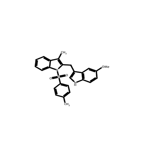 COc1ccc2[nH]cc(Cc3c(C)c4ccccc4n3S(=O)(=O)c3ccc(C)cc3)c2c1